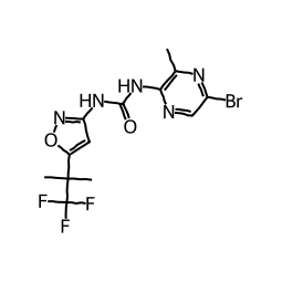 Cc1nc(Br)cnc1NC(=O)Nc1cc(C(C)(C)C(F)(F)F)on1